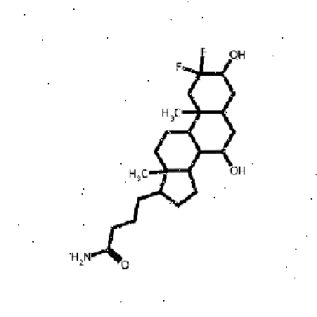 CC12CCC3C(C(O)CC4CC(O)C(F)(F)CC43C)C1CCC2CCCC(N)=O